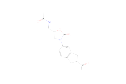 CC(=O)NCC1CN(c2ccc3c(c2)CC(C(C)=O)C3)C(=O)O1